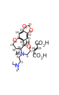 CN(C)CCN1CCO[C@H]2c3cc4c(cc3OCC[C@@H]21)OCO4.O=C(O)C=CC(=O)O